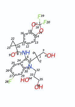 CC(C)(CO)c1c(NC(=O)C2(c3ccc4c(c3)OC(F)(F)O4)CC2)c2ccc(F)cc2n1C[C@@H](O)CO